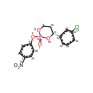 O=[N+]([O-])c1ccc(O[P@@]2(=O)OCC[C@H](c3cccc(Cl)c3)O2)cc1